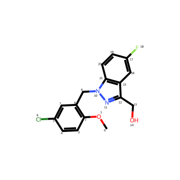 COc1ccc(Cl)cc1Cn1nc(CO)c2cc(F)ccc21